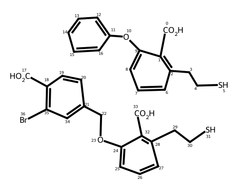 O=C(O)c1c(CCS)cccc1Oc1ccccc1.O=C(O)c1ccc(COc2cccc(CCS)c2C(=O)O)cc1Br